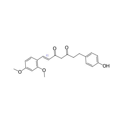 COc1ccc(/C=C/C(=O)CC(=O)CCc2ccc(O)cc2)c(OC)c1